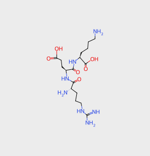 N=C(N)NCCC[C@H](N)C(=O)N[C@@H](CCC(=O)O)C(=O)N[C@@H](CCCCN)C(=O)O